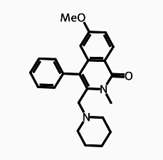 COc1ccc2c(=O)n(C)c(CN3CCCCC3)c(-c3ccccc3)c2c1